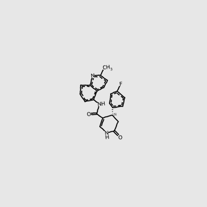 Cc1ccc2c(NC(=O)C3=CNC(=O)C[C@H]3c3ccc(F)cc3)cccc2n1